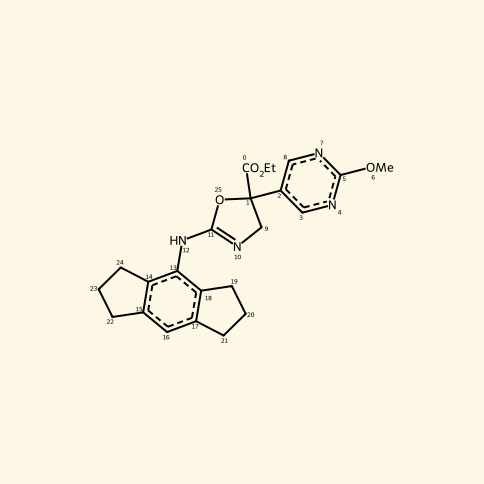 CCOC(=O)C1(c2cnc(OC)nc2)CN=C(Nc2c3c(cc4c2CCC4)CCC3)O1